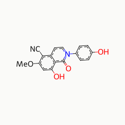 COc1cc(O)c2c(=O)n(-c3ccc(O)cc3)ccc2c1C#N